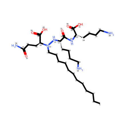 CCCCCCCCCCCCN(N[C@@H](CCCCN)C(=O)N[C@@H](CCCCN)C(=O)O)[C@@H](CCC(N)=O)C(=O)O